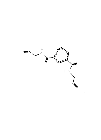 C=CCNC(=O)c1cccc(C(=O)NCC=C)c1